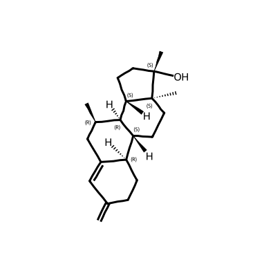 C=C1C=C2C[C@@H](C)[C@@H]3[C@H](CC[C@@]4(C)[C@H]3CC[C@]4(C)O)[C@H]2CC1